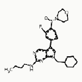 CCCCNc1ncc2c(-c3ccc([S+]([O-])N4CCOCC4)c(F)c3)cn(CC3CCCCC3)c2n1